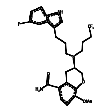 COc1ccc(C(N)=O)c2c1OC[C@H](N(CCCc1c[nH]c3ccc(F)cc13)CCCC(F)(F)F)C2